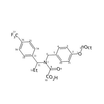 CCCCCCCCOc1ccc(CN(C(=O)C(=O)O)C(CC)c2ccc(C(F)(F)F)cc2)cc1